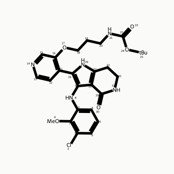 COc1c(Cl)cccc1Nc1c(-c2ccncc2OCCCNC(=O)OC(C)(C)C)[nH]c2c1C(=O)NCC2